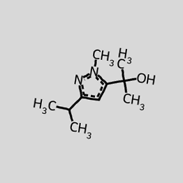 CC(C)c1cc(C(C)(C)O)n(C)n1